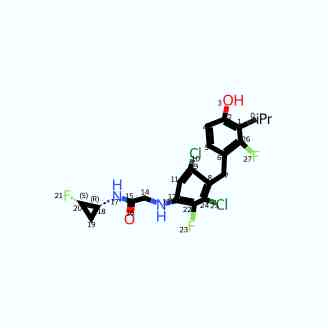 CC(C)c1c(O)ccc(Cc2c(Cl)cc(NCC(=O)N[C@@H]3C[C@@H]3F)c(F)c2Cl)c1F